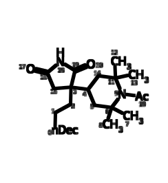 CCCCCCCCCCCCC1(C2CC(C)(C)N(C(C)=O)C(C)(C)C2)CC(=O)NC1=O